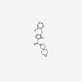 Cn1c(Cc2ccccc2F)ccc1C(=O)N1CCC2(CCOCC2)C1